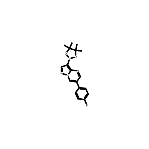 CC1(C)OB(c2cnn3cc(-c4ccc(F)cc4)cnc23)OC1(C)C